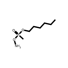 CCCCCCOP(C)(=O)ON